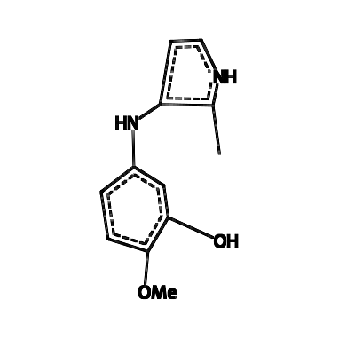 COc1ccc(Nc2cc[nH]c2C)cc1O